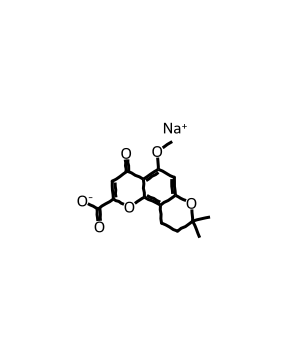 COc1cc2c(c3oc(C(=O)[O-])cc(=O)c13)CCC(C)(C)O2.[Na+]